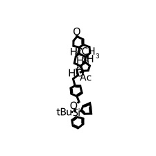 CC(=O)C1(O)CC[C@H]2[C@@H]3CCC4=CC(=O)CC[C@@]4(C)[C@@H]3CC[C@@]21CCCc1ccc(CO[Si](c2ccccc2)(c2ccccc2)C(C)(C)C)cc1